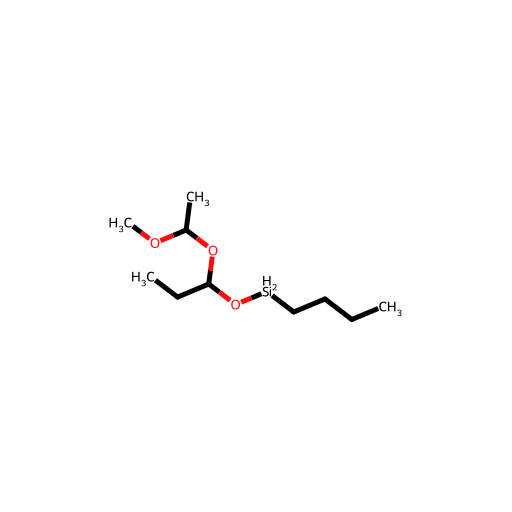 CCCC[SiH2]OC(CC)OC(C)OC